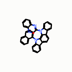 c1ccc2c(-n3c4ccccc4c4ccc5c6ccccc6n(-c6cnc7ccccc7n6)c5c43)cccc2c1